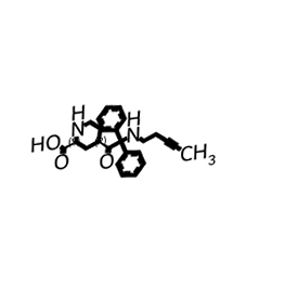 CC#CCCNC(C(=O)[C@@H]1CCN[C@H](C(=O)O)C1)(c1ccccc1)c1ccccc1